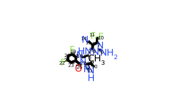 CC(Nc1nc(N)nc(C(F)F)c1C#N)c1nc2c(F)cc(F)cc2c(=O)n1-c1cc[nH]n1